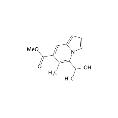 COC(=O)c1cc2cccn2c(C(C)O)c1C